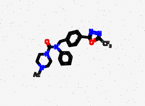 CC(=O)N1CCN(C(=O)N(Cc2ccc(-c3nnc(C(F)(F)F)o3)cc2)c2ccccc2)CC1